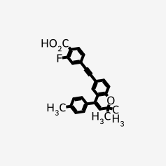 Cc1ccc(C2=CC(C)(C)Oc3ccc(C#Cc4ccc(C(=O)O)c(F)c4)cc32)cc1